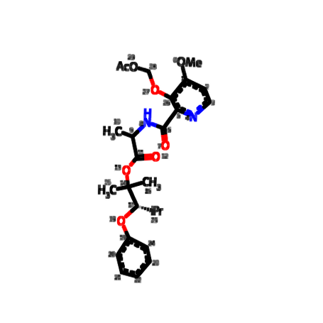 COc1ccnc(C(=O)NC(C)C(=O)OC(C)(C)[C@@H](Oc2ccccc2)C(C)C)c1OCOC(C)=O